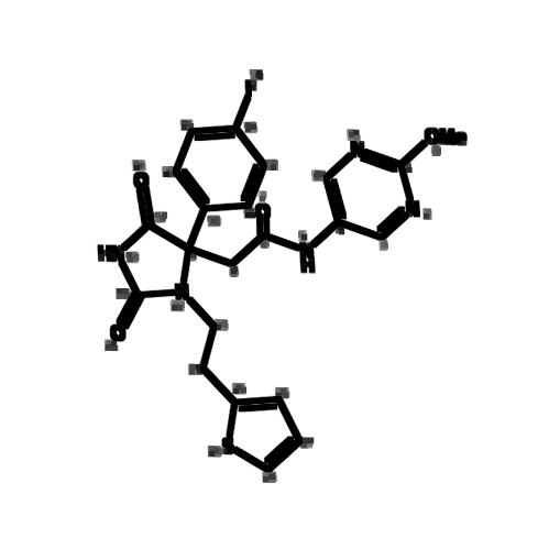 COc1ncc(NC(=O)CC2(c3ccc(F)cc3)C(=O)NC(=O)N2CCc2cccs2)cn1